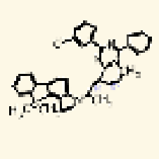 C/C=C\C(=C/C(C)n1ccc2c3c(ccc21)-c1ccccc1S3(C)C)c1nc(-c2ccccc2)nc(-c2cccc(Cl)c2)n1